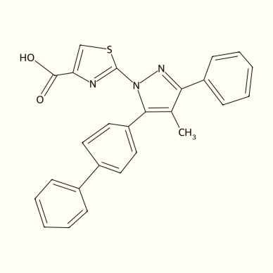 Cc1c(-c2ccccc2)nn(-c2nc(C(=O)O)cs2)c1-c1ccc(-c2ccccc2)cc1